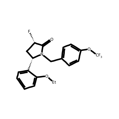 CCOc1ccccc1[C@@H]1C[C@H](F)C(=O)N1Cc1ccc(OC(F)(F)F)cc1